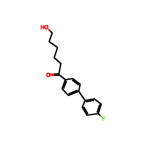 O=C(CCCCCO)c1ccc(-c2ccc(F)cc2)cc1